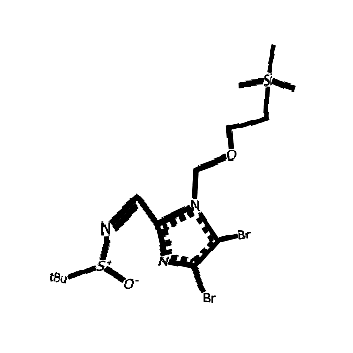 CC(C)(C)[S+]([O-])/N=C\c1nc(Br)c(Br)n1COCC[Si](C)(C)C